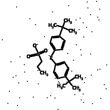 CC(C)(C)c1ccc([I+]c2ccc(C(C)(C)C)cc2)cc1.CCCS(=O)(=O)[O-]